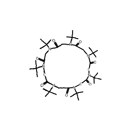 CC(C)(C)N1CC(=O)N(C(C)(C)C)CC(=O)N(C(C)(C)C)CC(=O)N(C(C)(C)C)CC(=O)N(C(C)(C)C)CC(=O)N(C(C)(C)C)CC(=O)N(C(C)(C)C)CC1=O